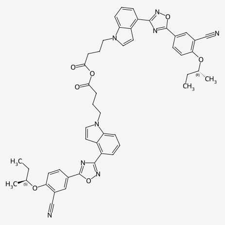 CC[C@@H](C)Oc1ccc(-c2nc(-c3cccc4c3ccn4CCCC(=O)OC(=O)CCCn3ccc4c(-c5noc(-c6ccc(O[C@@H](C)CC)c(C#N)c6)n5)cccc43)no2)cc1C#N